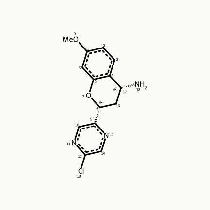 COc1ccc2c(c1)O[C@@H](c1cnc(Cl)cn1)C[C@H]2N